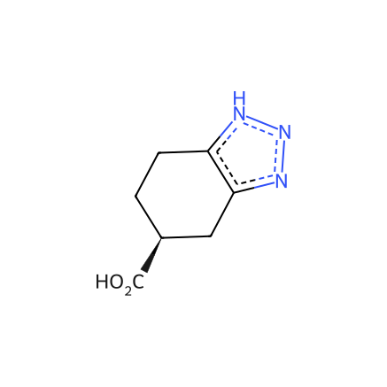 O=C(O)[C@H]1CCc2[nH]nnc2C1